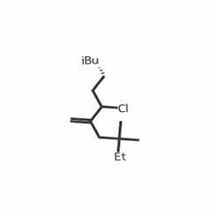 C=C(CC(C)(C)CC)C(Cl)CC[C@@H](C)CC